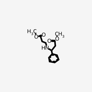 COC(=O)CCNC(CC(=O)OC)c1ccccc1